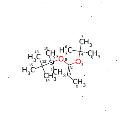 C/C=C(\OC(C)(C)C)O[Si](C)(C)C(C)(C)C